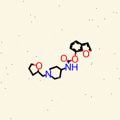 O=C(NC1CCN(CC2CCCO2)CC1)Oc1cccc2ccoc12